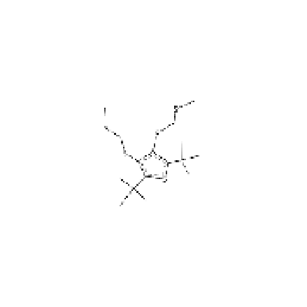 CSCSc1c(C(C)(C)C)sc(C(C)(C)C)c1SCSC